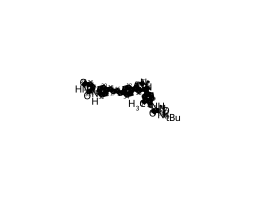 Cc1cc(-c2ncnn3cc(-c4ccc(CCCCc5ccc(NC6CCC(=O)NC6=O)cc5)cc4)cc23)ccc1CNC(=O)c1noc(C(C)(C)C)n1